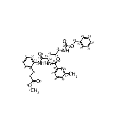 COC(=O)CCc1ccccc1NC(=O)[C@H](CCCNC(=O)OCc1ccccc1)NC(=O)c1cccc(C)n1